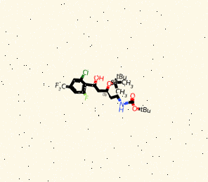 CC(C)(C)OC(=O)NCC[C@@H](CC(O)c1c(F)cc(C(F)(F)F)cc1Cl)O[Si](C)(C)C(C)(C)C